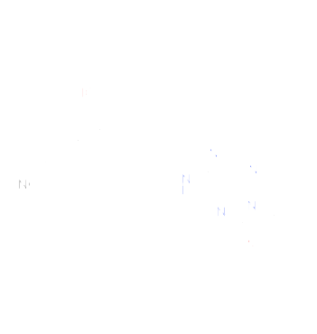 Cc1nc(NCCc2ccc(O)c(-c3cccc(C#N)c3)c2)c2nc3n(c2n1)C(C)(C)CO3